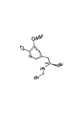 COc1cc(C[C@H](NSC(C)(C)C)C(C)(C)C)cnc1Cl